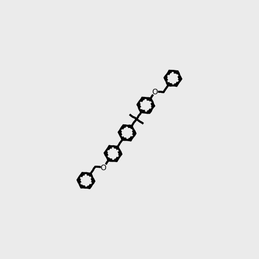 CC(C)(c1ccc(OCc2ccccc2)cc1)c1ccc(-c2ccc(OCc3ccccc3)cc2)cc1